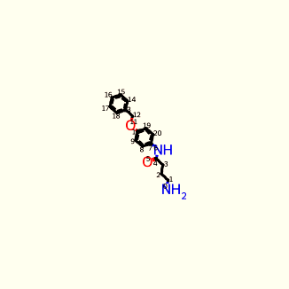 NCCCC(=O)Nc1ccc(OCc2ccccc2)cc1